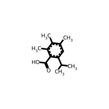 Cc1cc(C(C)C)c(C(=O)O)c(C)c1C